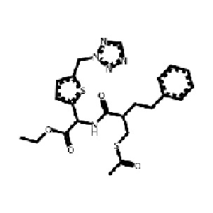 CCOC(=O)C(NC(=O)C(CCc1ccccc1)CSC(C)=O)c1ccc(Cn2ncnn2)s1